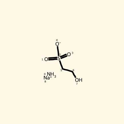 N.O=S(=O)([O-])CCO.[Na+]